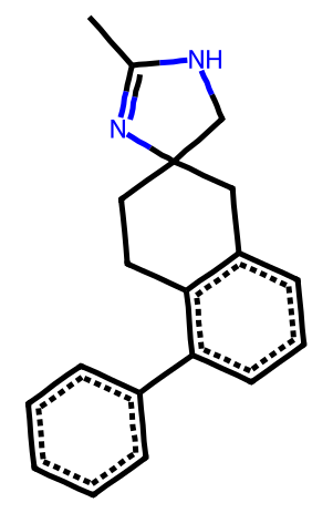 CC1=NC2(CCc3c(cccc3-c3ccccc3)C2)CN1